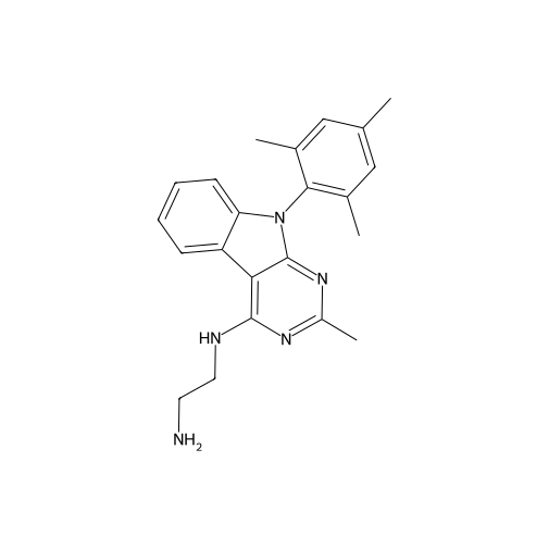 Cc1cc(C)c(-n2c3ccccc3c3c(NCCN)nc(C)nc32)c(C)c1